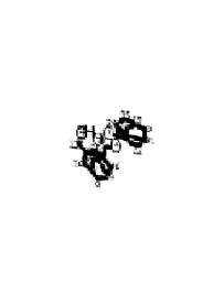 CC1(OC(=O)C23CC4CC(CC(C=O)(C4)C2)C3)C2CC3CC(C2)CC1C3